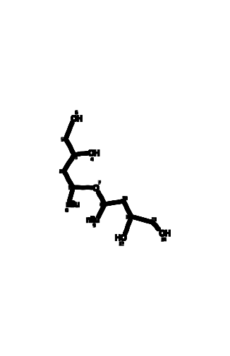 CCCCC(CC(O)CO)OC(CCCC)CC(O)CO